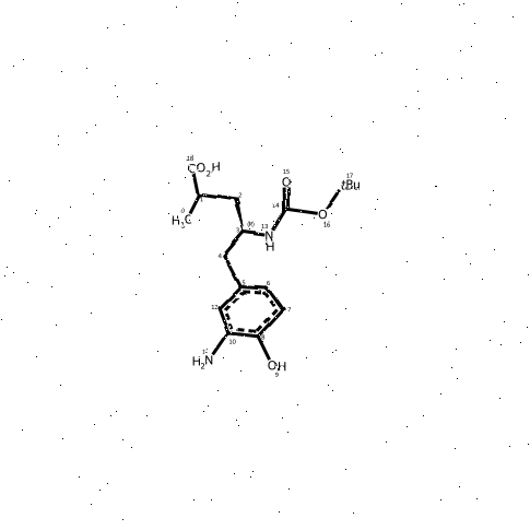 CC(C[C@H](Cc1ccc(O)c(N)c1)NC(=O)OC(C)(C)C)C(=O)O